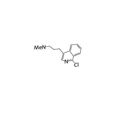 CNCCCc1cnc(Cl)c2ccccc12